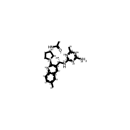 CC(=O)N[C@H]1CCN(c2nc3ccc(C)cc3cc2[C@H](C)Nc2nc(C)nc(N)n2)C1